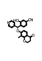 Cc1c(O[C@H](c2ccncc2)c2ccc(C#N)cc2O)ccc2c1OCCC2=O